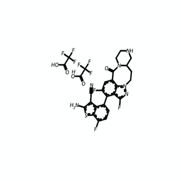 N#Cc1c(N)sc2c(F)ccc(-c3c(F)cc4c5c3c(F)nn5CCC3CNCCN3C4=O)c12.O=C(O)C(F)(F)F.O=C(O)C(F)(F)F